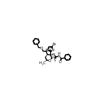 C[C@H]1C[C@@H]([C@H](O)COCc2ccccc2)[C@](NC(=S)NC(=O)c2ccccc2)(c2nc(Br)cs2)CO1